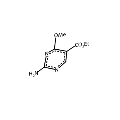 CCOC(=O)c1cnc(N)nc1OC